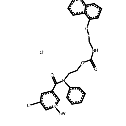 CCC[n+]1cc(Cl)cc(C(=O)N(CCOC(=O)NCCOc2cccc3ccccc23)c2ccccc2)c1.[Cl-]